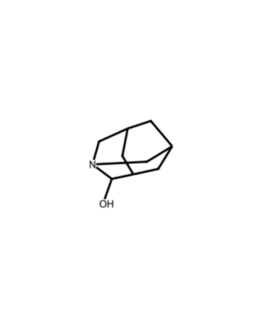 OC1C2CC3CC(C2)CN1C3